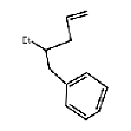 C=CCC(CC)Cc1ccccc1